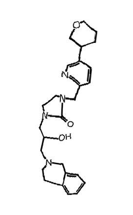 O=C1N(Cc2ccc(C3CCCOC3)cn2)CCN1CC(O)CN1CCc2ccccc2C1